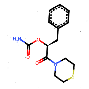 NC(=O)O[C@@H](Cc1ccccc1)C(=O)N1CCSCC1